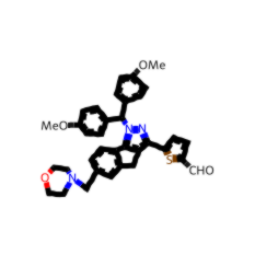 COc1ccc(C(c2ccc(OC)cc2)n2nc(-c3ccc(C=O)s3)c3c2-c2ccc(CN4CCOCC4)cc2C3)cc1